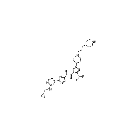 O=C(Nc1cn(C2CCN(CCCC3CCNCC3)CC2)nc1C(F)F)c1coc(-c2ccnc(NCC3CC3)c2)n1